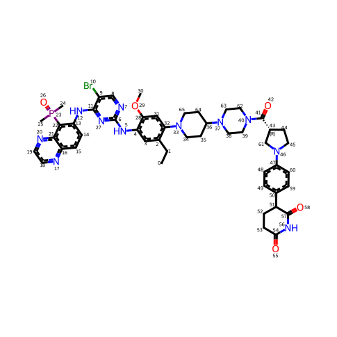 CCc1cc(Nc2ncc(Br)c(Nc3ccc4nccnc4c3P(C)(C)=O)n2)c(OC)cc1N1CCC(N2CCN(C(=O)[C@@H]3CCN(c4ccc(C5CCC(=O)NC5=O)cc4)C3)CC2)CC1